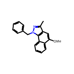 COc1cc2c(C)nn(Cc3ccccc3)c2c2ccccc12